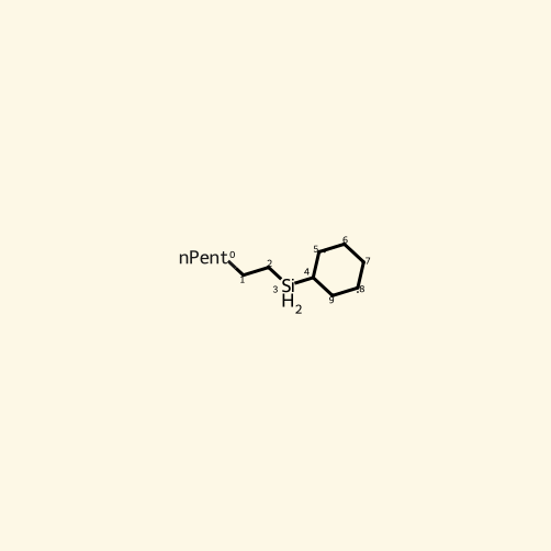 CCCCCCC[SiH2]C1[CH]CC[CH]C1